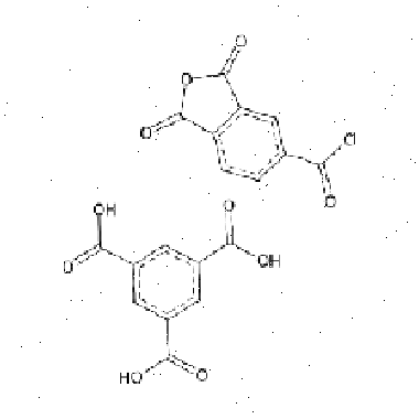 O=C(Cl)c1ccc2c(c1)C(=O)OC2=O.O=C(O)c1cc(C(=O)O)cc(C(=O)O)c1